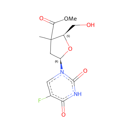 COC(=O)C1(C)C[C@H](n2cc(F)c(=O)[nH]c2=O)O[C@@H]1CO